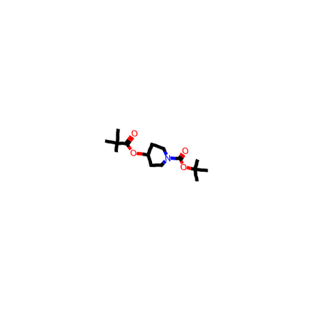 CC(C)(C)OC(=O)N1CCC(OC(=O)C(C)(C)C)CC1